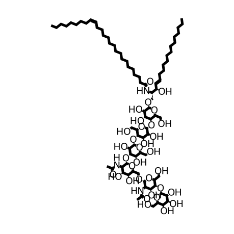 CCCCCCCC/C=C\CCCCCCCCCCCCCCCC(=O)N[C@@H](CO[C@@H]1OC(CO)[C@@H](O[C@@H]2OC(CO)[C@H](O[C@@H]3OC(CO)[C@H](O)[C@H](O[C@@H]4OC(CO[C@@H]5OC(CO)[C@@H](O[C@@H]6OC(CO)[C@H](O)[C@H](O)C6O)[C@H](O)C5NC(C)=O)[C@H](O)[C@H](O)C4NC(C)=O)C3O)[C@H](O)C2O)[C@H](O)C1O)[C@H](O)/C=C/CCCCCCCCCCCCC